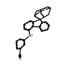 N#Cc1cccc(Nc2cccc3c2-c2ccccc2C32C3CCC4CC(C3)CC2C4)c1